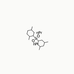 CCCO[Si](OCCC)(C1CC(C)CC(C)C1)C1CC(C)CCC1C